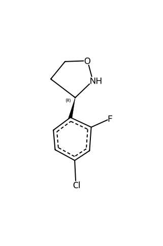 Fc1cc(Cl)ccc1[C@H]1CCON1